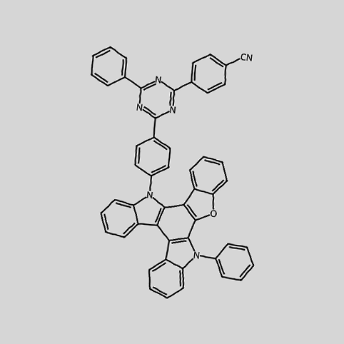 N#Cc1ccc(-c2nc(-c3ccccc3)nc(-c3ccc(-n4c5ccccc5c5c6c7ccccc7n(-c7ccccc7)c6c6oc7ccccc7c6c54)cc3)n2)cc1